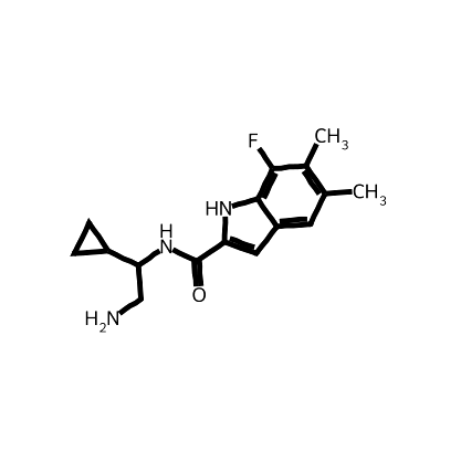 Cc1cc2cc(C(=O)NC(CN)C3CC3)[nH]c2c(F)c1C